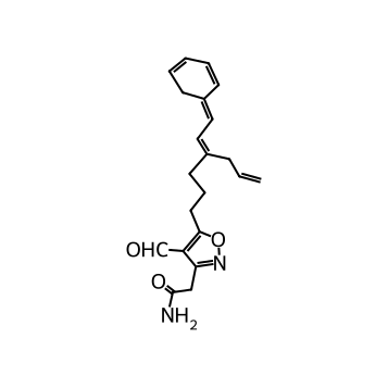 C=CC/C(=C\C=C1\C=CC=CC1)CCCc1onc(CC(N)=O)c1C=O